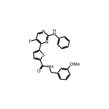 COc1cccc(CNC(=O)c2ccc(-c3nc(Nc4ccccc4)ncc3F)s2)c1